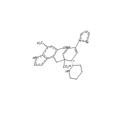 COc1cc(C)c2[nH]ccc2c1CC1(C(=O)O)C=CC(n2cccn2)=C[C@@H]1C1CCCCN1